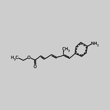 CCOC(=O)/C=C/C=C/C(C)=C/c1ccc(N)cc1